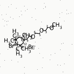 COCCOCCOCC[N+]1(C)CC(C)(C)N(Br)C(C)(C)C1.[Br-]